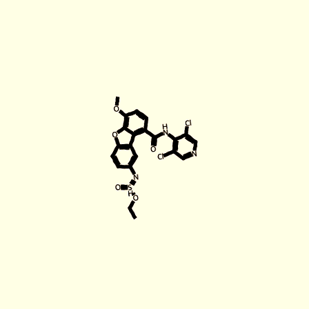 CCO[SH](=O)=Nc1ccc2oc3c(OC)ccc(C(=O)Nc4c(Cl)cncc4Cl)c3c2c1